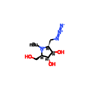 CCCCN1[C@H](CO)[C@@H](O)[C@H](O)[C@H]1CN=[N+]=[N-]